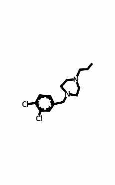 CCCN1CCN(Cc2ccc(Cl)c(Cl)c2)CC1